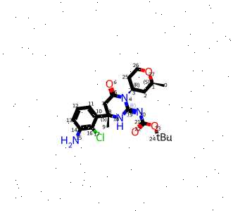 C[C@H]1C[C@H](N2C(=O)C[C@@](C)(c3cccc(N)c3Cl)N/C2=N\C(=O)OC(C)(C)C)CCO1